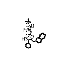 CC(C)(C)OC(=O)NCC(=O)OC(Cc1ccc2ccccc2c1)C(S)c1ccccc1